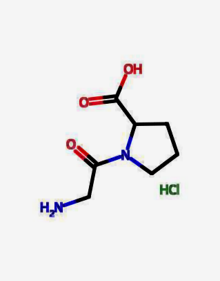 Cl.NCC(=O)N1CCCC1C(=O)O